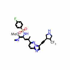 C=N/C(OC)=C(\C=C(/C)c1ccc2ncc(C#CC3CNCC3C(F)(F)F)n2n1)NS(=O)(=O)c1ccc(F)cc1